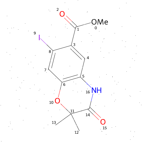 COC(=O)c1cc2c(cc1I)OC(C)(C)C(=O)N2